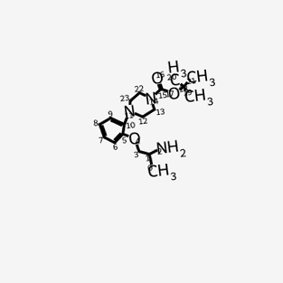 CC(N)COc1ccccc1N1CCN(C(=O)OC(C)(C)C)CC1